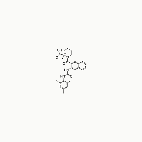 Cc1cc(C)c(NC(=O)Nc2cc3ccccc3cc2C(=O)N2CCCC[C@@]2(C)C(=O)O)c(C)c1